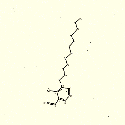 CCCCCCCCCCCCc1ccnc(C=O)c1Cl